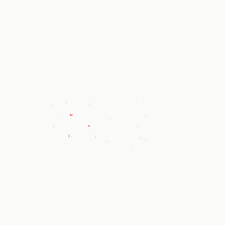 CC(C)CC(NC(=O)O)C(=O)N1C2CC1CN(c1ccc(-c3cc(OCC(C)(C)O)cn4ncc(C#N)c34)cn1)C2